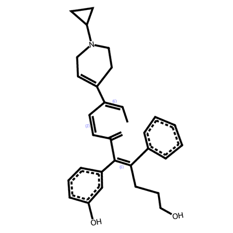 C=C(/C=C\C(=C/C)C1=CCN(C2CC2)CC1)/C(=C(/CCCO)c1ccccc1)c1cccc(O)c1